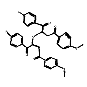 CSc1ccc(C(=O)CC(SC(CC(=O)c2ccc(SC)cc2)C(=O)c2ccc(F)cc2)C(=O)c2ccc(F)cc2)cc1